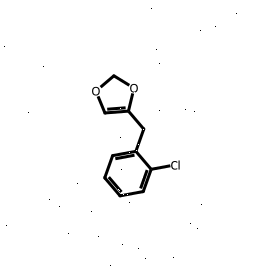 Clc1ccccc1CC1=COCO1